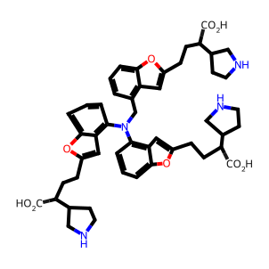 O=C(O)C(CCc1cc2c(CN(c3cccc4oc(CCC(C(=O)O)C5CCNC5)cc34)c3cccc4oc(CCC(C(=O)O)C5CCNC5)cc34)cccc2o1)C1CCNC1